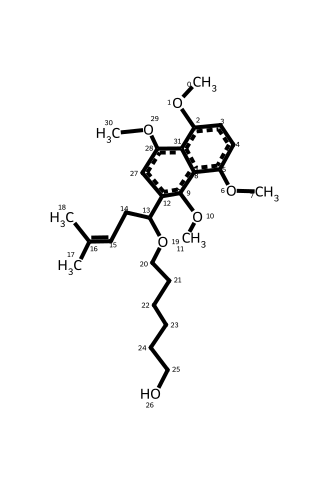 COc1ccc(OC)c2c(OC)c(C(CC=C(C)C)OCCCCCCO)cc(OC)c12